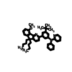 CCCCC1(CCCC)c2ccc(-c3cc(N(c4ccccc4)c4ccccn4)cc(C(C)(C)C)c3)nc2-c2c(OC)cccc21